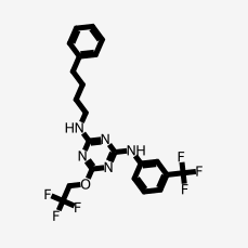 FC(F)(F)COc1nc(NCCCCc2ccccc2)nc(Nc2cccc(C(F)(F)F)c2)n1